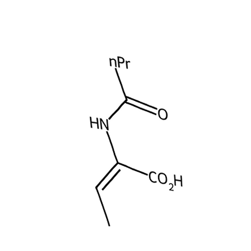 C/C=C(/NC(=O)CCC)C(=O)O